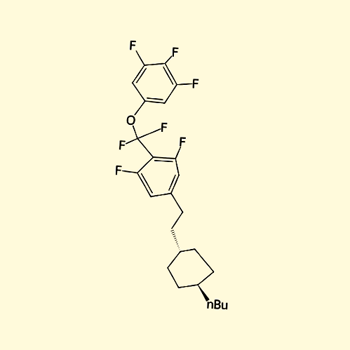 CCCC[C@H]1CC[C@H](CCc2cc(F)c(C(F)(F)Oc3cc(F)c(F)c(F)c3)c(F)c2)CC1